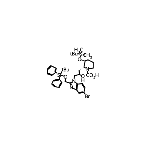 CC(C)(C)[Si](C)(C)O[C@H]1CCCN(C(=O)O)[C@@H]1CC(O)Cn1c(CO[Si](c2ccccc2)(c2ccccc2)C(C)(C)C)nc2cc(Br)ccc21